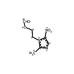 Cc1ncc([N+](=O)[O-])n1CCO[C]=O